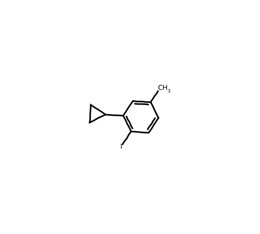 Cc1ccc(I)c(C2CC2)c1